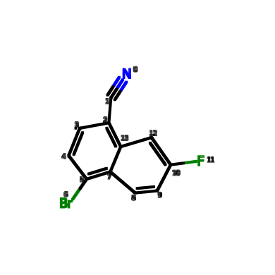 N#Cc1[c]cc(Br)c2ccc(F)cc12